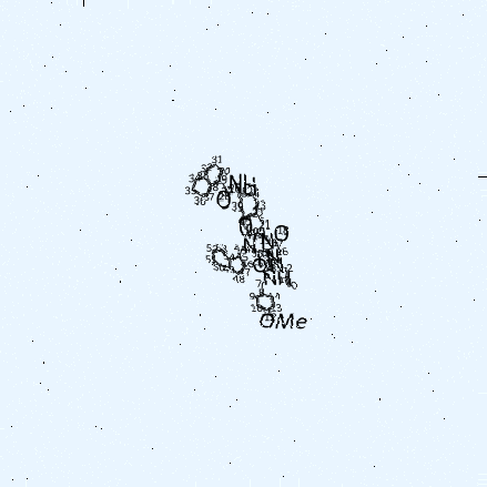 C#CCN(C(=O)NCc1ccc(OC)cc1)N1CC(=O)N2[C@@H](Cc3ccc(NC(=O)c4cccc5ccccc45)cc3)C(=O)N(Cc3cccc4ccccc34)C[C@@H]21